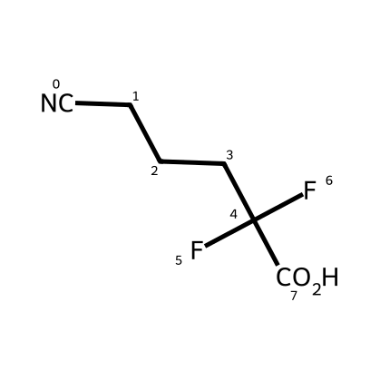 N#CCCCC(F)(F)C(=O)O